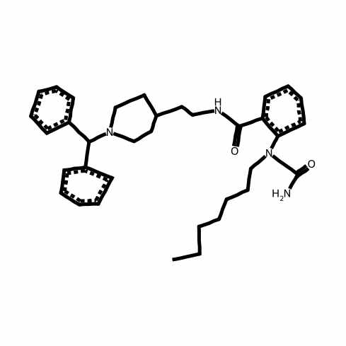 CCCCCCCN(C(N)=O)c1ccccc1C(=O)NCCC1CCN(C(c2ccccc2)c2ccccc2)CC1